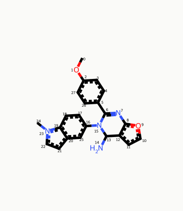 COc1ccc(C2=Nc3occc3C(N)N2c2ccc3c(ccn3C)c2)cc1